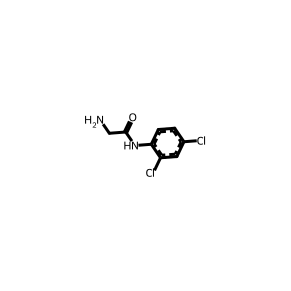 NCC(=O)Nc1ccc(Cl)cc1Cl